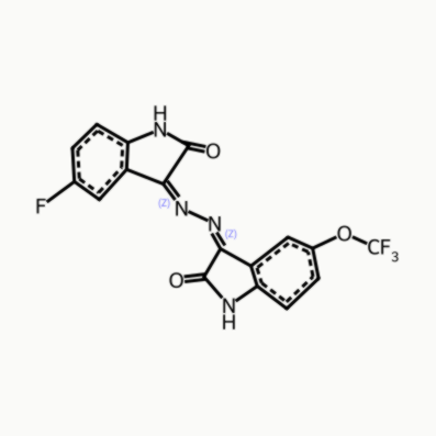 O=C1Nc2ccc(F)cc2/C1=N/N=C1\C(=O)Nc2ccc(OC(F)(F)F)cc21